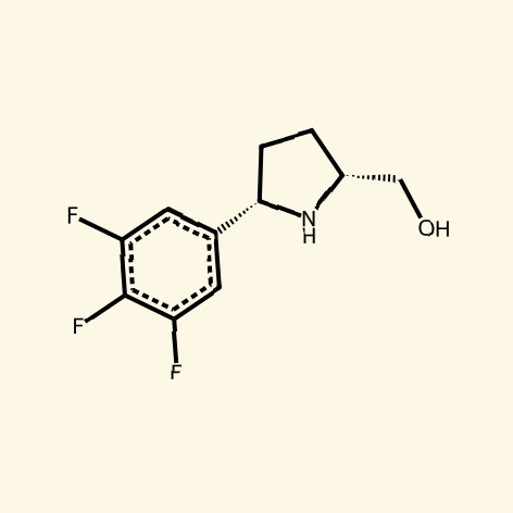 OC[C@H]1CC[C@@H](c2cc(F)c(F)c(F)c2)N1